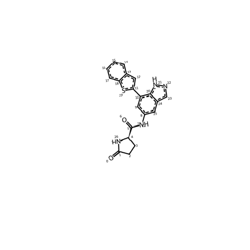 O=C1CC[C@H](C(=O)Nc2cc(-c3cc4ccccc4s3)c3[nH]ncc3c2)N1